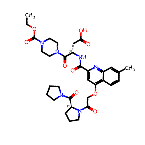 CCOC(=O)N1CCN(C(=O)[C@H](CC(=O)O)NC(=O)c2cc(OCC(=O)N3CCC[C@H]3C(=O)N3CCCC3)c3ccc(C)cc3n2)CC1